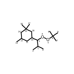 C[C](C)C(OOC(C)(C)C)C1CC(C)CC(C)(C)C1